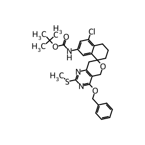 CSc1nc2c(c(OCc3ccccc3)n1)COC1(CCCc3c(Cl)cc(NC(=O)OC(C)(C)C)cc31)C2